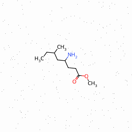 CCC(C)CC(N)CCC(=O)OC